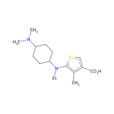 CCN(c1scc(C(=O)O)c1C)C1CCC(N(C)C)CC1